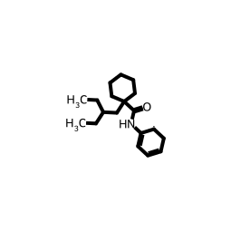 CCC(CC)CC1(C(=O)NC2=CC=CC[CH]2)CCCCC1